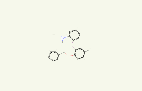 Cc1ccc(OCc2ccccc2)c(Pc2ccccc2N(C)C)c1